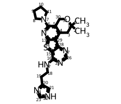 CC1(C)Cc2c(c(N3CCCC3)nc3sc4c(NCCc5c[nH]cn5)ncnc4c23)CO1